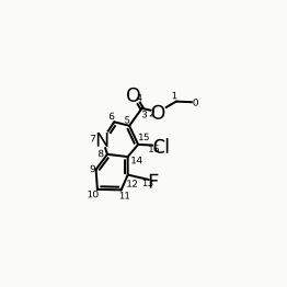 CCOC(=O)c1cnc2cccc(F)c2c1Cl